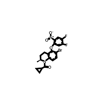 C[C@H]1CCc2c(ccc(Br)c2Oc2cc(F)c(F)cc2[N+](=O)[O-])N1C(=O)C1CC1